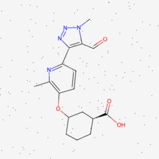 Cc1nc(-c2nnn(C)c2C=O)ccc1OC1CCC[C@H](C(=O)O)C1